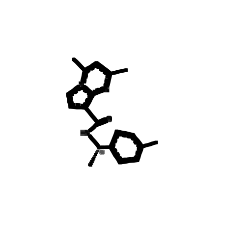 Cc1ccc([C@H](C)NC(=O)c2ccn3c(C)cc(C)nc23)cc1